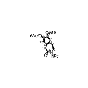 CCCN1C=Cc2cc(OC)c(OC)cc2CC1=O